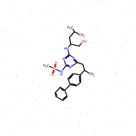 CC(C)CC(CO)Nc1nc(CC(C)c2ccc(-c3ccccc3)cc2)nc(NS(C)(=O)=O)n1